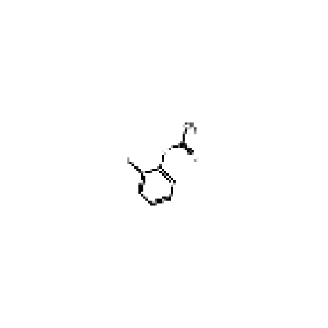 O=C(Oc1ccccc1I)C(F)(F)F